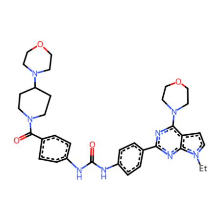 CCn1ccc2c(N3CCOCC3)nc(-c3ccc(NC(=O)Nc4ccc(C(=O)N5CCC(N6CCOCC6)CC5)cc4)cc3)nc21